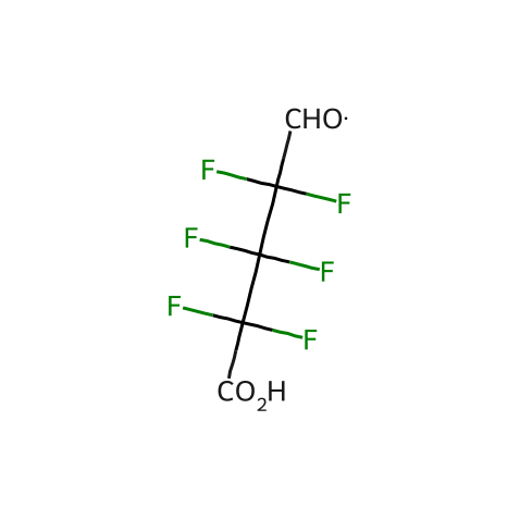 O=[C]C(F)(F)C(F)(F)C(F)(F)C(=O)O